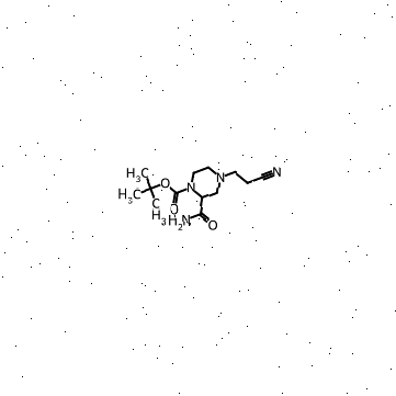 CC(C)(C)OC(=O)N1CCN(CCC#N)CC1C(N)=O